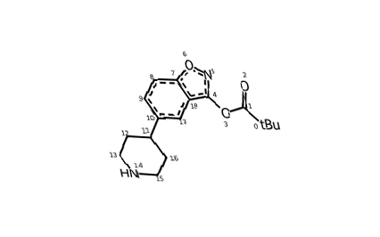 CC(C)(C)C(=O)Oc1noc2ccc(C3CCNCC3)cc12